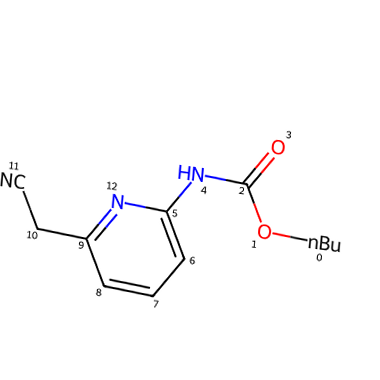 CCCCOC(=O)Nc1cccc(CC#N)n1